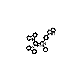 C1=CC(c2ccc(C3=CC(c4cc(-n5c6ccccc6c6ccccc65)cc(-n5c6ccccc6c6ccccc65)c4)NC(c4ccccc4)=N3)cc2)Nc2ccccc21